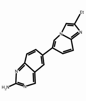 CCc1cn2cc(-c3ccc4nc(N)ncc4c3)ccc2n1